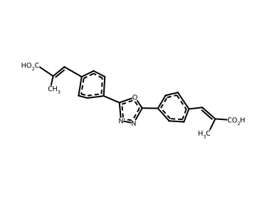 C/C(=C\c1ccc(-c2nnc(-c3ccc(/C=C(\C)C(=O)O)cc3)o2)cc1)C(=O)O